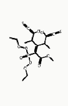 CCOOP(=O)(OOCC)C(C(=O)OC)=C(C(C)C(Cl)=C=S)C(C)C(Cl)=C=S